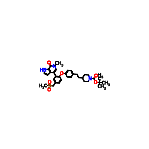 Cn1cc(-c2cc(CS(C)(=O)=O)ccc2Oc2ccc(CCC3CCN(C(=O)OC(C)(C)C)CC3)cc2)c2cc[nH]c2c1=O